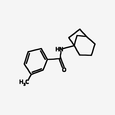 Cc1cccc(C(=O)NC23CCCC(CC2)C3)c1